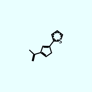 C=C(C)C1=CCC(c2cccs2)=C1